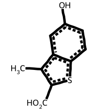 Cc1c(C(=O)O)sc2ccc(O)cc12